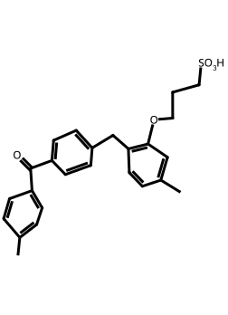 Cc1ccc(C(=O)c2ccc(Cc3ccc(C)cc3OCCCS(=O)(=O)O)cc2)cc1